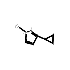 Brn1ccc(C2CC2)n1